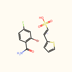 NC(=O)c1ccc(F)cc1Br.O=S(=O)(O)/C=C/c1cccs1